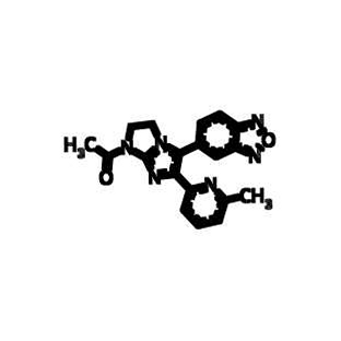 CC(=O)N1CCn2c1nc(-c1cccc(C)n1)c2-c1ccc2nonc2c1